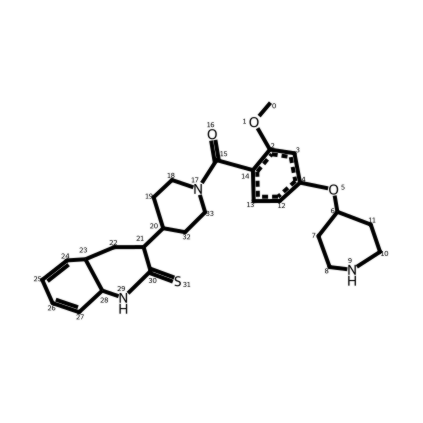 COc1cc(OC2CCNCC2)ccc1C(=O)N1CCC(C2CC3C=CC=CC3NC2=S)CC1